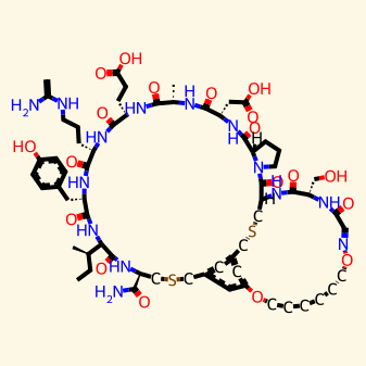 C=C(N)NCCC[C@@H]1NC(=O)[C@H](CCC(=O)O)NC(=O)[C@H](C)NC(=O)[C@H](CC(=O)O)NC(=O)[C@@H]2CCCN2C(=O)[C@@H]2CSCc3cc(cc(c3)OCCCCCCO/N=C/C(=O)N[C@@H](CO)C(=O)N2)CSC[C@@H](C(N)=O)NC(=O)C([C@H](C)CC)NC(=O)[C@H](Cc2ccc(O)cc2)NC1=O